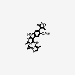 COc1cc2c(cc1-c1c(C)noc1C)[nH]c1nc(C)nc(Nc3c(C)cnn3C3CC3)c12